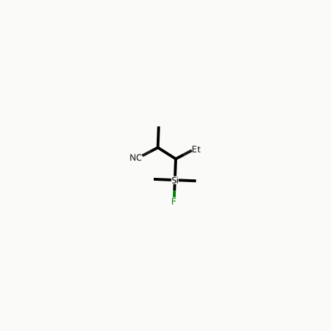 CCC(C(C)C#N)[Si](C)(C)F